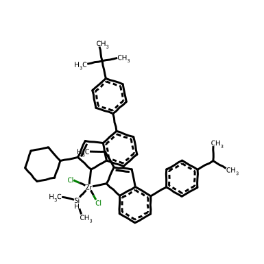 CCC1=Cc2c(-c3ccc(C(C)C)cc3)cccc2[CH]1[Zr]([Cl])([Cl])([CH]1C(C2CCCCC2)=Cc2c(-c3ccc(C(C)(C)C)cc3)cccc21)[SiH](C)C